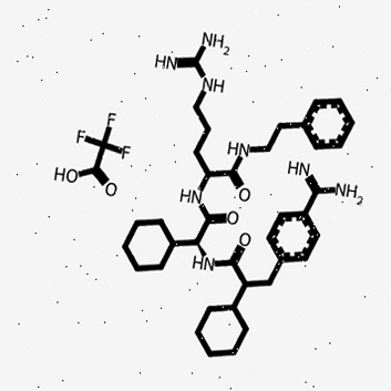 N=C(N)NCCCC(NC(=O)[C@@H](NC(=O)C(Cc1ccc(C(=N)N)cc1)C1CCCCC1)C1CCCCC1)C(=O)NCCc1ccccc1.O=C(O)C(F)(F)F